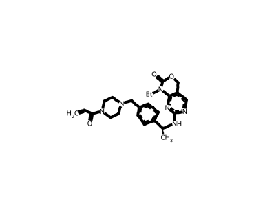 C=CC(=O)N1CCN(Cc2ccc([C@H](C)Nc3ncc4c(n3)N(CC)C(=O)OC4)cc2)CC1